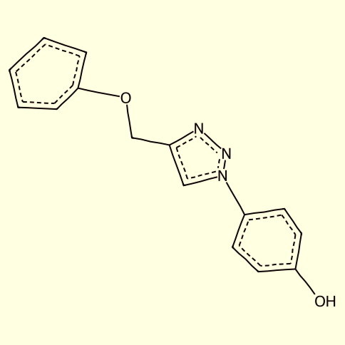 Oc1ccc(-n2cc(COc3ccccc3)nn2)cc1